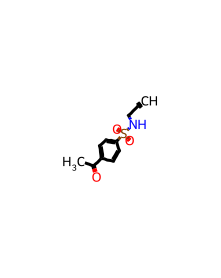 C#CCNS(=O)(=O)c1ccc(C(C)=O)cc1